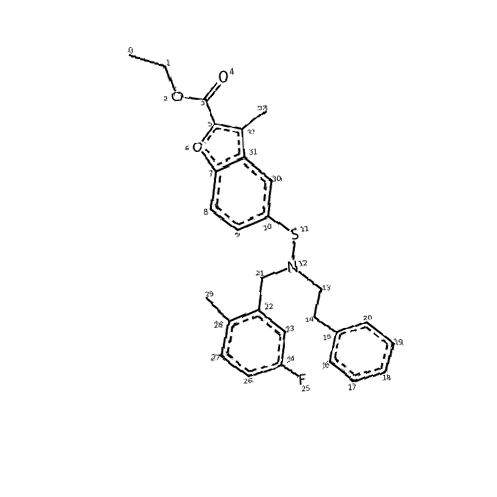 CCOC(=O)c1oc2ccc(SN(CCc3ccccc3)Cc3cc(F)ccc3C)cc2c1C